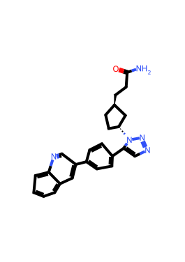 NC(=O)CC[C@@H]1CC[C@@H](n2nncc2-c2ccc(-c3cnc4ccccc4c3)cc2)C1